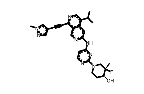 CC(C)c1cnc(C#Cc2cnn(C)c2)c2cnc(Nc3ccnc(N4CC[C@@H](O)[C@@](C)(F)C4)n3)cc12